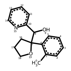 Cc1ccccc1C1(C(O)c2ccccn2)CCCO1